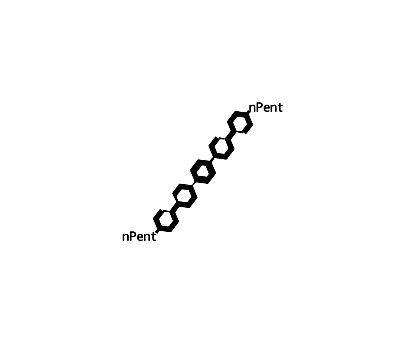 CCCCC[C@H]1CC[C@H]([C@H]2CC[C@H](c3ccc([C@H]4CC[C@H]([C@H]5CC[C@H](CCCCC)CC5)CC4)cc3)CC2)CC1